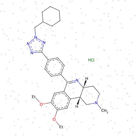 CCOc1cc2c(cc1OCC)[C@H]1CN(C)CC[C@H]1N=C2c1ccc(-c2nnn(CC3CCCCC3)n2)cc1.Cl